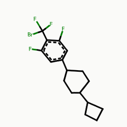 Fc1cc(C2CCC(C3CCC3)CC2)cc(F)c1C(F)(F)Br